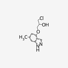 Cc1cc(OCC(O)CCl)c2cn[nH]c2c1